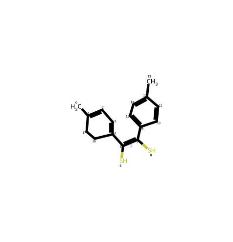 CC1=CC=C(/C(S)=C(/S)c2ccc(C)cc2)CC1